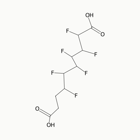 O=C(O)CCC(F)C(F)C(F)C(F)C(F)C(F)C(=O)O